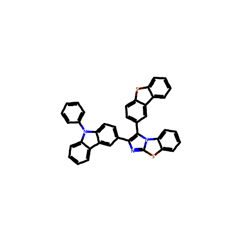 c1ccc(-n2c3ccccc3c3cc(-c4nc5sc6ccccc6n5c4-c4ccc5sc6ccccc6c5c4)ccc32)cc1